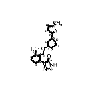 Cc1cccc(-n2nn[nH]c2=O)c1COc1cccc(-c2ccn(C)n2)c1